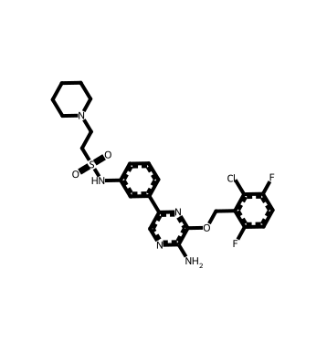 Nc1ncc(-c2cccc(NS(=O)(=O)CCN3CCCCC3)c2)nc1OCc1c(F)ccc(F)c1Cl